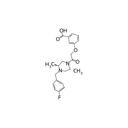 C[C@@H]1CN(Cc2ccc(F)cc2)[C@@H](C)CN1C(=O)COc1cccc(C(=O)O)c1